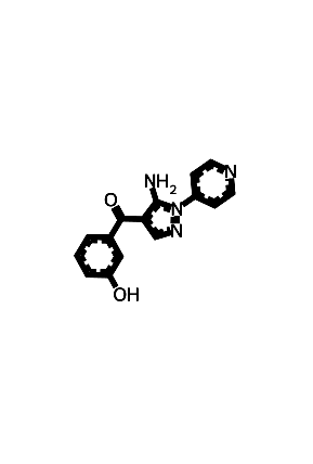 Nc1c(C(=O)c2cccc(O)c2)cnn1-c1ccncc1